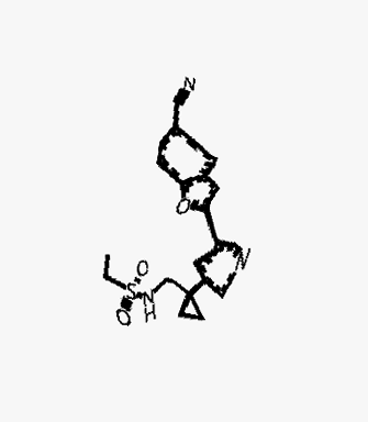 CCS(=O)(=O)NCC1(c2cncc(-c3cc4cc(C#N)ccc4o3)c2)CC1